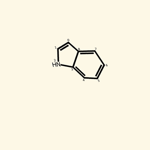 [c]1c[nH]c2ccccc12